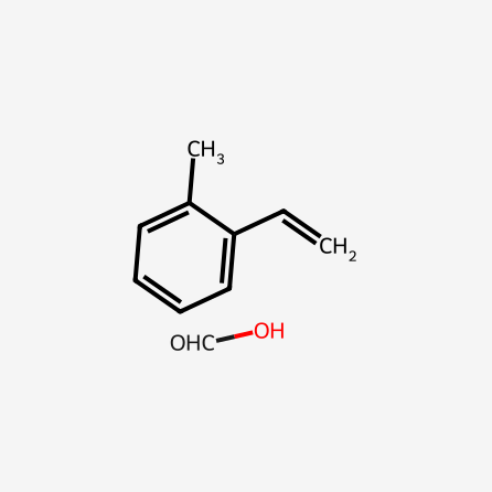 C=Cc1ccccc1C.O=CO